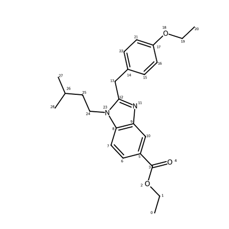 CCOC(=O)c1ccc2c(c1)nc(Cc1ccc(OCC)cc1)n2CCC(C)C